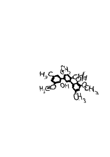 COc1cc(C)c(-c2cc(C)cc(OC)c2O)cc1-c1cc(C)cc(OC)c1O